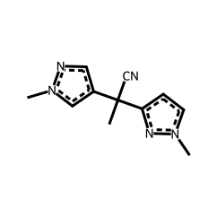 Cn1cc(C(C)(C#N)c2ccn(C)n2)cn1